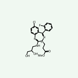 COC(=O)CC[C@@H]1N=C(c2ccccc2F)c2cc(Cl)ccc2N=C1NCC(O)CO